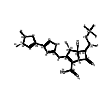 C[C@@H](O[Si](C)(C)C)[C@H]1C(=O)N2C(C(=O)O)=C(Sc3nc(C4=C[C@H](C)N(C)C4)cs3)[C@H](C)[C@H]12